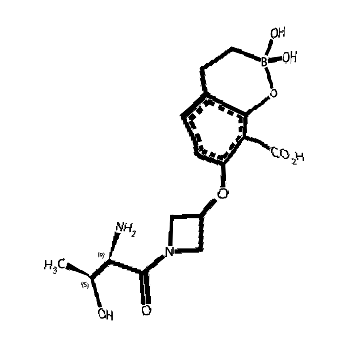 C[C@H](O)[C@@H](N)C(=O)N1CC(Oc2ccc3c(c2C(=O)O)O[B-](O)(O)CC3)C1